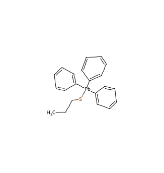 CCC[S][Pb]([c]1ccccc1)([c]1ccccc1)[c]1ccccc1